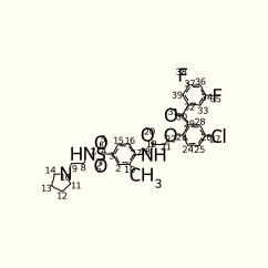 Cc1cc(S(=O)(=O)NCCN2CCCC2)ccc1NC(=O)COc1ccc(Cl)cc1C(=O)c1cc(F)cc(F)c1